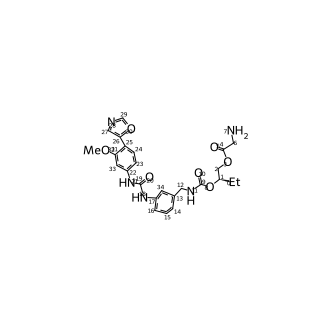 CC[C@H](COC(=O)CN)OC(=O)NCc1cccc(NC(=O)Nc2ccc(-c3cnco3)c(OC)c2)c1